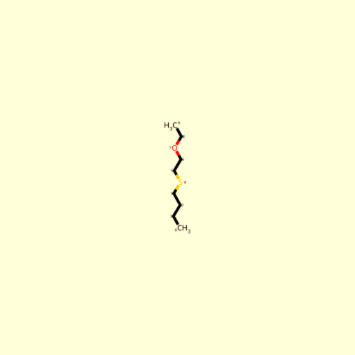 CCCCSCCOCC